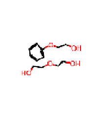 OCCOCCO.OCCOc1ccccc1